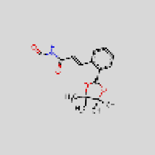 CC1(C)OB(c2ccccc2C=CC(=O)NC=O)OC1(C)C